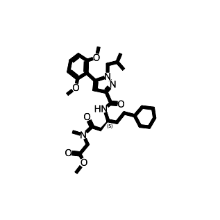 COC(=O)CN(C)C(=O)C[C@H](CCC1CCCCC1)NC(=O)c1cc(-c2c(OC)cccc2OC)n(CC(C)C)n1